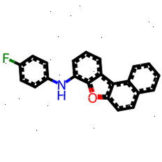 Fc1ccc(Nc2cccc3c2oc2ccc4ccccc4c23)cc1